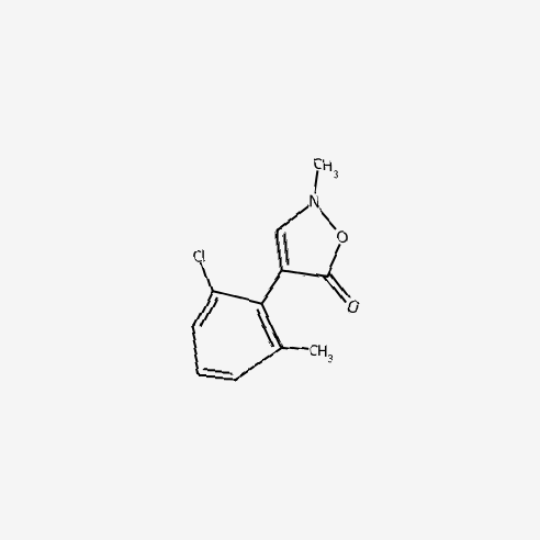 Cc1cccc(Cl)c1-c1cn(C)oc1=O